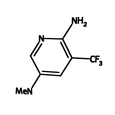 CNc1cnc(N)c(C(F)(F)F)c1